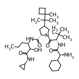 CCCC(NC(=O)[C@@H]1CC(C(C)(C)C2(C)CCC2)CN1C(=O)[C@@H](NC(=O)[C@@H](N)C1CCCCC1)C(C)(C)C)C(O)C(=O)NC1CC1